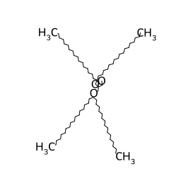 CCCCCCCCCCCCCCCCCC(CCCCCCCCCCCCCCCCC)OCC1COC(CCCCCCCCCCCCCCCCC)(CCCCCCCCCCCCCCCCC)O1